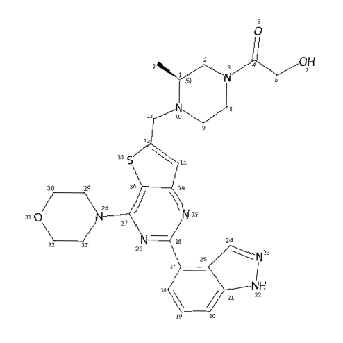 C[C@H]1CN(C(=O)CO)CCN1Cc1cc2nc(-c3cccc4[nH]ncc34)nc(N3CCOCC3)c2s1